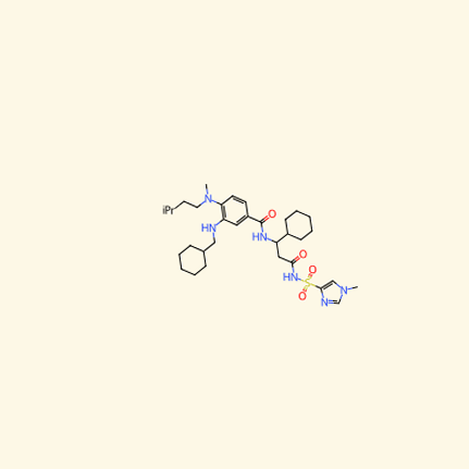 CC(C)CCN(C)c1ccc(C(=O)NC(CC(=O)NS(=O)(=O)c2cn(C)cn2)C2CCCCC2)cc1NCC1CCCCC1